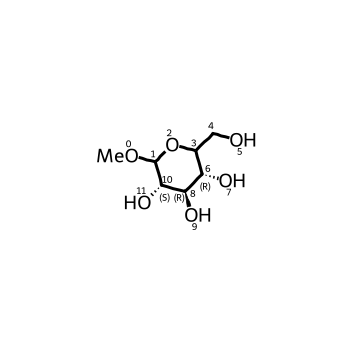 COC1OC(CO)[C@H](O)[C@@H](O)[C@@H]1O